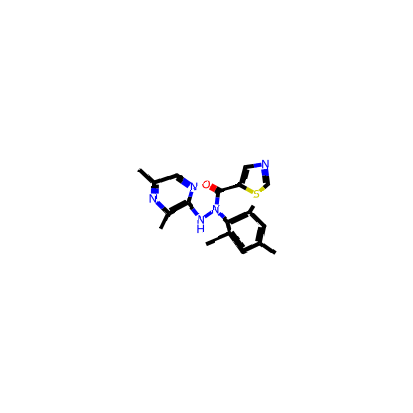 Cc1cc(C)c(N(Nc2ncc(C)nc2C)C(=O)c2cncs2)c(C)c1